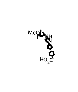 COc1ncc(Nc2ccc(-c3ccc([C@H]4CC[C@@H](CC(=O)O)CC4)cc3)nc2)cc1F